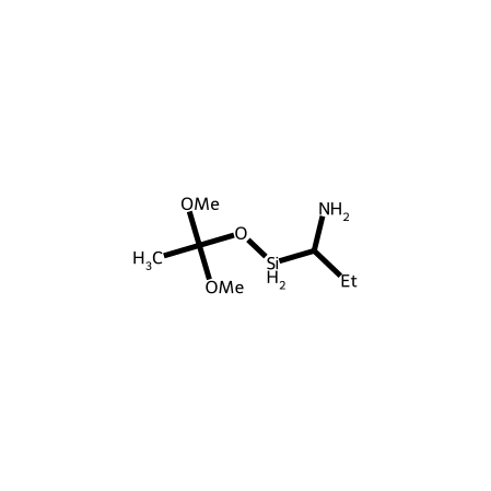 CCC(N)[SiH2]OC(C)(OC)OC